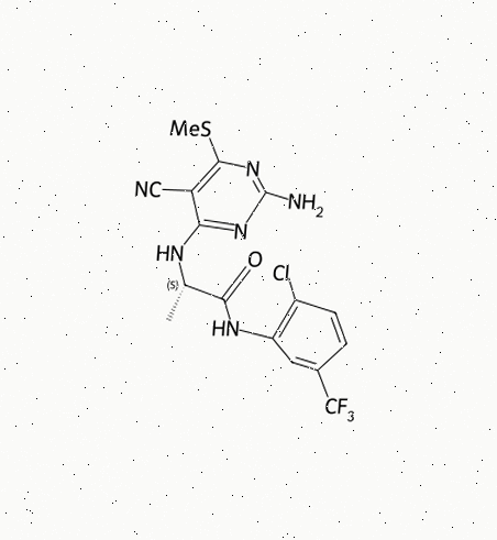 CSc1nc(N)nc(N[C@@H](C)C(=O)Nc2cc(C(F)(F)F)ccc2Cl)c1C#N